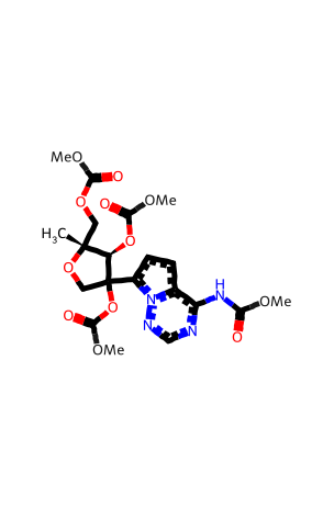 COC(=O)Nc1ncnn2c(C3(OC(=O)OC)CO[C@](C)(COC(=O)OC)[C@H]3OC(=O)OC)ccc12